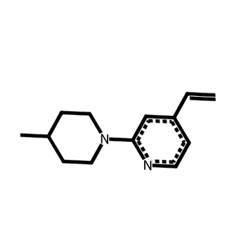 C=Cc1ccnc(N2CCC(C)CC2)c1